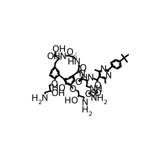 Cc1nc(-c2ccc(C(C)(C)C)cc2)nc(C)c1C(=O)NC(CNS(N)(=O)=O)C(=O)N(C)[C@@H]1C(=O)N[C@@H](C)C(=O)N[C@H](C(=O)O)Cc2ccc(OCC(O)CN)c(c2)-c2cc1cc(OCC(O)CN)c2O